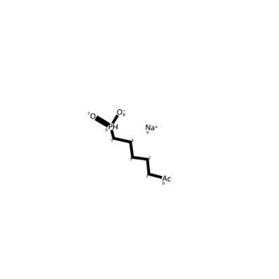 CC(=O)CCCCC[PH](=O)[O-].[Na+]